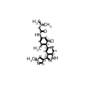 Cc1cc(NC(=O)CN(C)C)cc(Cl)c1-c1cc2c(-c3cnn(C)c3)n[nH]c2cn1